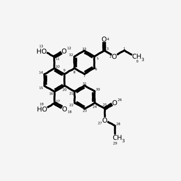 CCOC(=O)c1ccc(-c2c(C(=O)O)ccc(C(=O)O)c2-c2ccc(C(=O)OCC)cc2)cc1